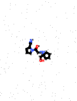 N#CC1C=CCN1C(=O)CNC1(CO)CCCC1